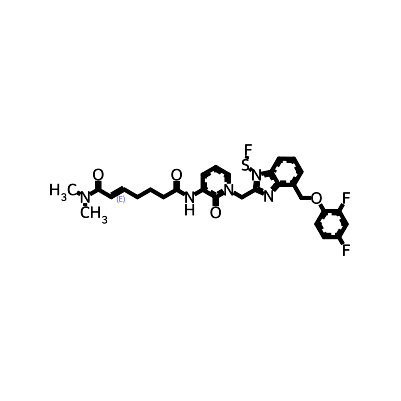 CN(C)C(=O)/C=C/CCCC(=O)Nc1cccn(Cc2nc3c(COc4ccc(F)cc4F)cccc3n2SF)c1=O